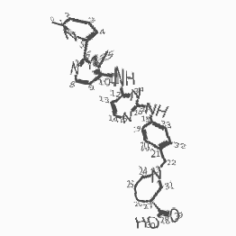 Cc1cccc(-c2nccc(Nc3ccnc(Nc4ccc(CN5CCC[C@H](C(=O)O)C5)cc4)n3)n2)n1